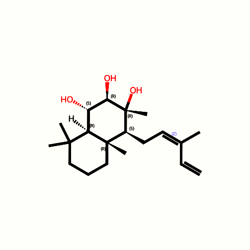 C=C/C(C)=C\C[C@@H]1[C@@](C)(O)[C@H](O)[C@@H](O)[C@@H]2C(C)(C)CCC[C@]21C